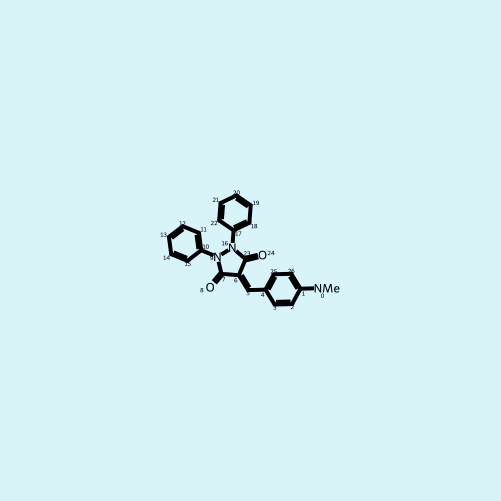 CNc1ccc(C=C2C(=O)N(c3ccccc3)N(c3ccccc3)C2=O)cc1